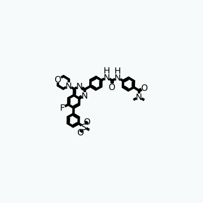 CN(C)C(=O)c1ccc(NC(=O)Nc2ccc(-c3nc(N4CCOCC4)c4cc(F)c(-c5cccc(S(C)(=O)=O)c5)cc4n3)cc2)cc1